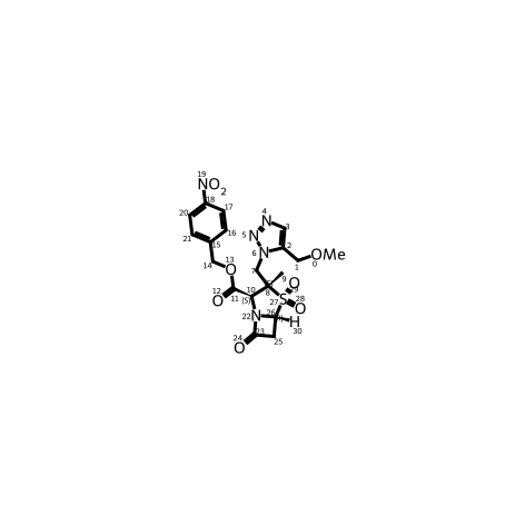 COCc1cnnn1C[C@@]1(C)[C@H](C(=O)OCc2ccc([N+](=O)[O-])cc2)N2C(=O)C[C@H]2S1(=O)=O